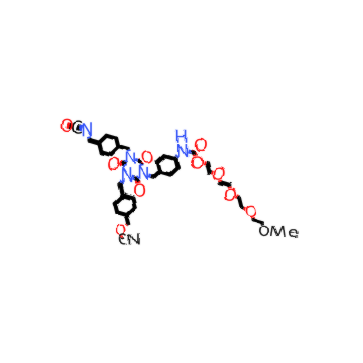 COCCOCCOCCOCCOC(=O)NC1CCC(Cn2c(=O)n(CC3CCC(CN=C=O)CC3)c(=O)n(CC3CCC(COC#N)CC3)c2=O)CC1